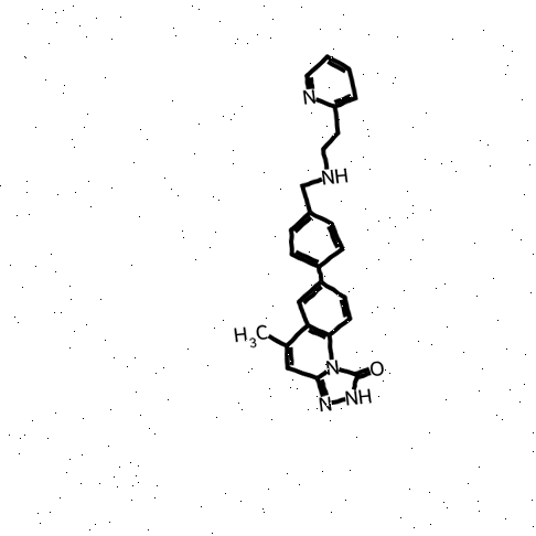 Cc1cc2n[nH]c(=O)n2c2ccc(-c3ccc(CNCCc4ccccn4)cc3)cc12